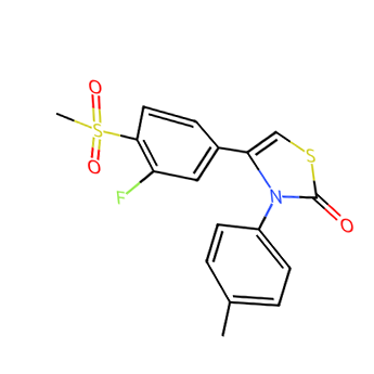 Cc1ccc(-n2c(-c3ccc(S(C)(=O)=O)c(F)c3)csc2=O)cc1